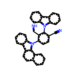 N#Cc1ccc(-n2c3ccccc3c3ccc4ccccc4c32)c(C=N)c1-n1c2ccccc2c2ccccc21